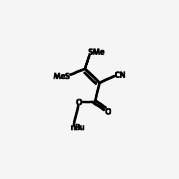 CCCCOC(=O)C(C#N)=C(SC)SC